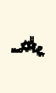 COc1ccc2[nH]cc(CC(=O)C(C)C)c2c1